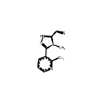 Cc1ncccc1C1=NNC(C=S)N1C